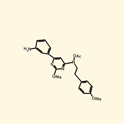 COc1ccc(CCN(OC(C)=O)c2cc(-c3cccc(N)c3)nc(OC)n2)cc1